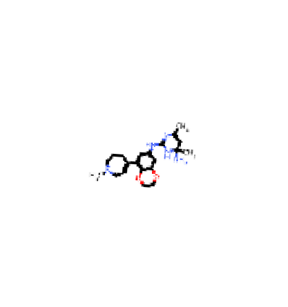 CC1=CC(C)(N)NC(Nc2cc3c(c(C4=CCN(C)CCC4)c2)OCCO3)=N1